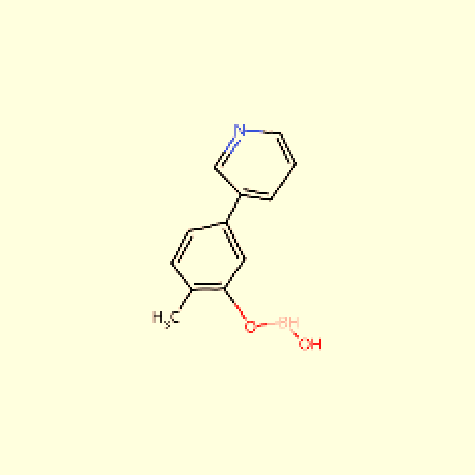 Cc1ccc(-c2cccnc2)cc1OBO